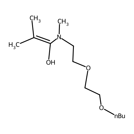 CCCCOCCOCCN(C)C(O)=C(C)C